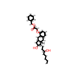 CCCCC[C@H](O)CC[C@H]1[C@H](O)CC2Cc3c(cccc3OCC(=O)OCc3ccccc3)C[C@@H]21